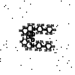 O=[PH](O[C@H]1c2ccccc2CCN1c1ccc(-c2ccccc2)cc1)O[C@H]1c2ccccc2CCN1c1ccc(-c2ccccc2)cc1